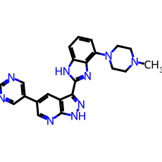 CN1CCN(c2cccc3[nH]c(-c4n[nH]c5ncc(-c6cncnc6)cc45)nc23)CC1